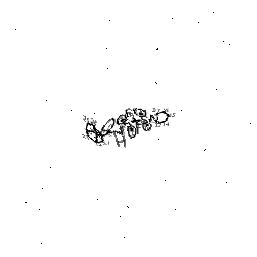 O=C(NS(=O)(=O)C(F)(F)S(=O)(=O)N1CCCCC1)C12CC3CC(CC(C3)C1)C2